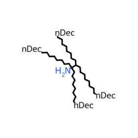 CCCCCCCCCCCCCCCCCCC(CCCCCCCCCCCCCCCCCC)C(N)(CCCCCCCCCCCCCCCCCC)CCCCCCCCCCCCCCCCCC